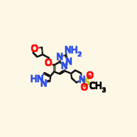 CS(=O)(=O)N1CCC(c2cc(-c3cn[nH]c3)c(OCC3CCOC3)c3nc(N)nn23)CC1